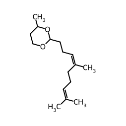 CC(C)=CCCC(C)=CCCC1OCCC(C)O1